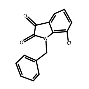 O=C1C(=O)N(Cc2ccccc2)c2c(Cl)cccc21